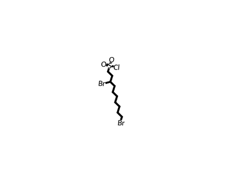 O=S(=O)(Cl)CCC(Br)CCCCCCCBr